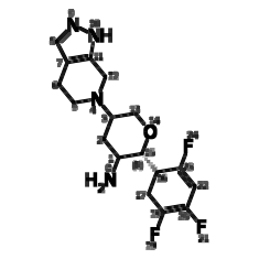 NC1CC(N2CCc3cn[nH]c3C2)CO[C@@H]1C1CC(F)=C(F)C=C1F